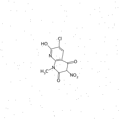 CN1C(=O)C([N+](=O)[O-])C(=O)c2cc(Cl)c(O)nc21